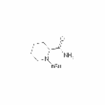 CCCCN1CCCC[C@H]1C(N)=O